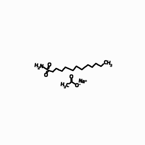 CC(=O)[O-].CCCCCCCCCCCCS(N)(=O)=O.[Na+]